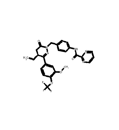 CCC1CC(=O)N(Cc2ccc(NC(=O)c3ncccn3)cc2)N=C1c1ccc(OC(F)(F)F)c(OC)c1